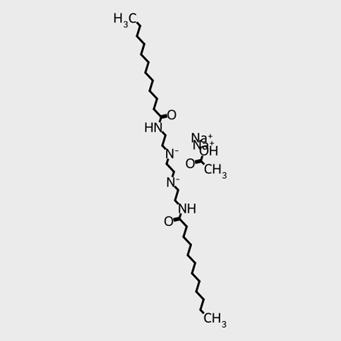 CC(=O)O.CCCCCCCCCCCC(=O)NCC[N-]CC[N-]CCNC(=O)CCCCCCCCCCC.[Na+].[Na+]